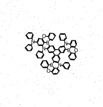 c1ccc(N(c2ccccc2)c2cc3c4c(c2)N(c2ccccc2)c2cc5c(cc2B4c2ccccc2O3)c2cc3c(cc2c2cc4c(cc25)B2c5ccccc5Oc5cccc(c52)N4c2ccccc2)B2c4ccccc4Oc4cccc(c42)N3c2ccccc2)cc1